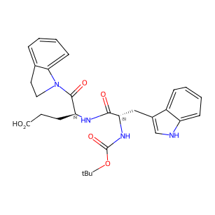 CC(C)(C)OC(=O)N[C@@H](Cc1c[nH]c2ccccc12)C(=O)N[C@@H](CCC(=O)O)C(=O)N1CCc2ccccc21